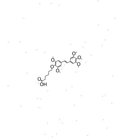 COc1cc(/C=C/c2cc(OC)c(OCCCCCC(=O)O)c(OC)c2)cc(OC)c1OC